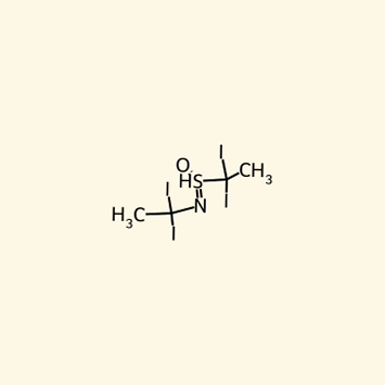 CC(I)(I)N=[SH](=O)C(C)(I)I